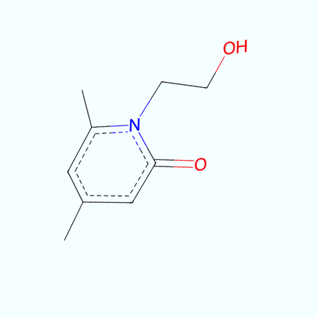 Cc1cc(C)n(CCO)c(=O)c1